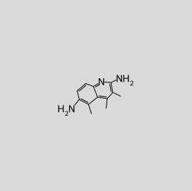 Cc1c(N)nc2ccc(N)c(C)c2c1C